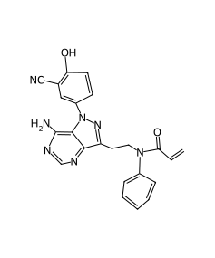 C=CC(=O)N(CCc1nn(-c2ccc(O)c(C#N)c2)c2c(N)ncnc12)c1ccccc1